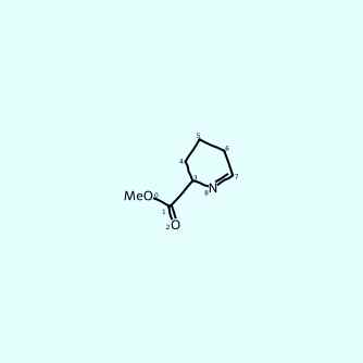 COC(=O)C1CCCC=N1